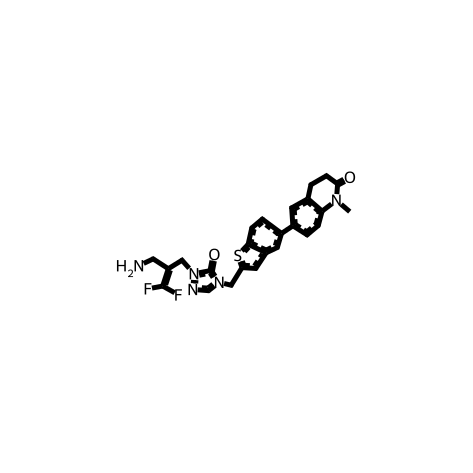 CN1C(=O)CCc2cc(-c3ccc4sc(Cn5cnn(CC(CN)=C(F)F)c5=O)cc4c3)ccc21